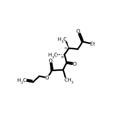 C=CCOC(=O)C(C)C(=O)[C@H](C)[C@@H](C)CC(=O)CC